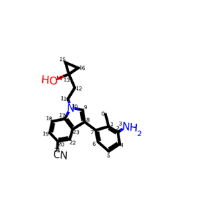 Cc1c(N)cccc1-c1cn(CCC2(O)CC2)c2ccc(C#N)cc12